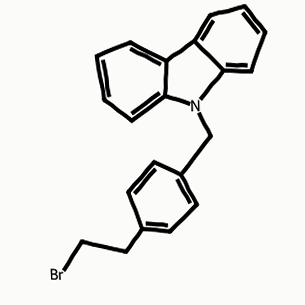 BrCCc1ccc(Cn2c3ccccc3c3ccccc32)cc1